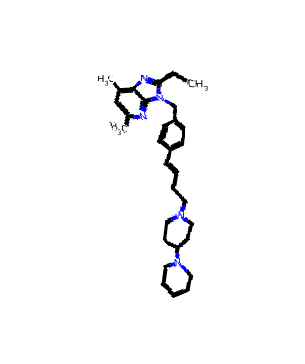 CCc1nc2c(C)cc(C)nc2n1Cc1ccc(/C=C/CCN2CCC(N3CCCCC3)CC2)cc1